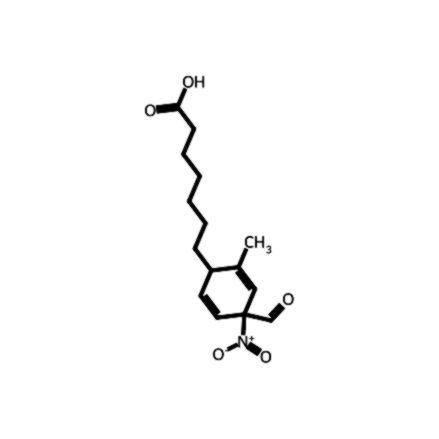 CC1=CC(C=O)([N+](=O)[O-])C=CC1CCCCCCC(=O)O